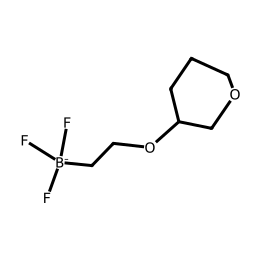 F[B-](F)(F)CCOC1CCCOC1